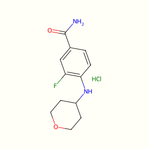 Cl.NC(=O)c1ccc(NC2CCOCC2)c(F)c1